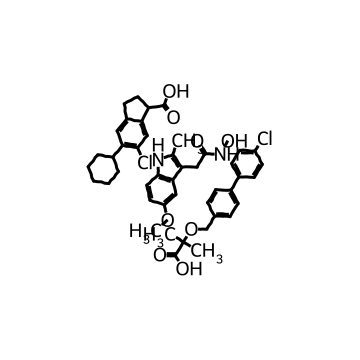 CC(C)(OCc1ccc(-c2ccc(Cl)cc2)cc1)C(=O)O.COc1ccc2[nH]c(C)c(CC(=O)NO)c2c1.O=C(O)C1CCc2cc(C3CCCCC3)c(Cl)cc21